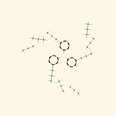 FC(F)(F)C(F)(F)C(F)(F)OC(F)(C(F)(F)F)C(F)(F)OC(F)(C(F)(F)F)C(F)(F)c1cccc(P(c2cccc(C(F)(F)C(F)(OC(F)(F)C(F)(OC(F)(F)C(F)(F)C(F)(F)F)C(F)(F)F)C(F)(F)F)c2)c2cccc(C(F)(F)C(F)(OC(F)(F)C(F)(OC(F)(F)C(F)(F)C(F)(F)F)C(F)(F)F)C(F)(F)F)c2)c1